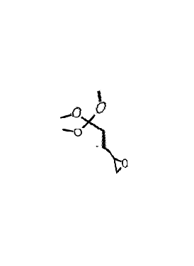 COC(C[CH]C1CO1)(OC)OC